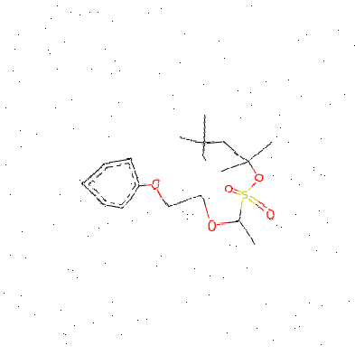 CC(OCCOc1ccccc1)S(=O)(=O)OC(C)(C)CC(C)(C)C